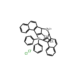 CCC1=C2c3c(ccc4ccccc34)[CH]1[Zr+2][CH]1C(CC)=C(c3c1ccc1ccccc31)[Si]2(c1ccccc1)c1ccccc1.[Cl-].[Cl-]